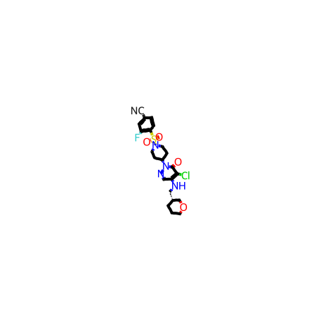 N#Cc1ccc(S(=O)(=O)N2CCC(n3ncc(NC[C@H]4CCCOC4)c(Cl)c3=O)CC2)c(F)c1